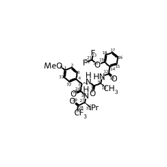 COc1ccc([C@H](NC(=O)[C@H](C)NC(=O)c2ccccc2OC(F)F)C(=O)N[C@H](C(=O)C(F)(F)F)C(C)C)cc1